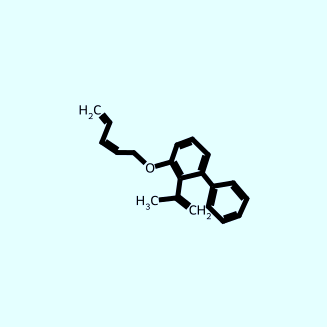 C=C/C=C\COc1cccc(-c2ccccc2)c1C(=C)C